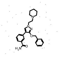 NC(=O)c1cccc(-c2cn(CCN3CCCCC3)nc2OCc2ccccc2)c1